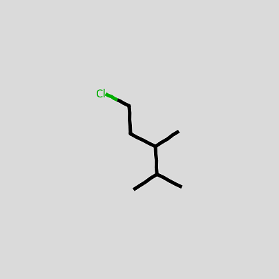 CC(C)C(C)CCCl